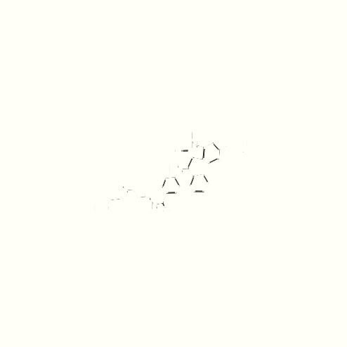 Cc1cc2c(cc1C(=O)O)NC(=O)/C2=C(\Nc1ccc(C(=O)N(C)OCCN(C)CCO)cc1)c1ccccc1